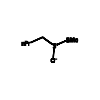 CCCC[S+]([O-])SC